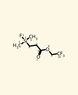 C[Si](C)(F)CCC(=O)OCC(F)(F)F